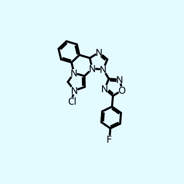 Fc1ccc(-c2nc(N3C=NC4c5ccccc5N5CN(Cl)C=C5N43)no2)cc1